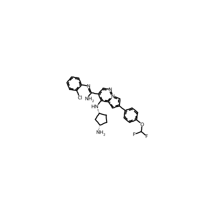 N/C(=N\c1ccccc1Cl)c1cnn2cc(-c3ccc(OC(F)F)cc3)cc2c1N[C@@H]1CC[C@H](N)C1